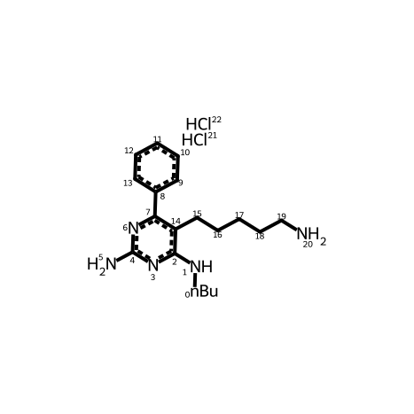 CCCCNc1nc(N)nc(-c2ccccc2)c1CCCCCN.Cl.Cl